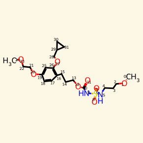 COCCCNS(=O)(=O)NC(=O)OCCCc1ccc(OCCOC)cc1OCC1CC1